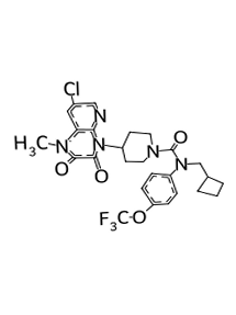 Cn1c(=O)c(=O)n(C2CCN(C(=O)N(CC3CCC3)c3ccc(OC(F)(F)F)cc3)CC2)c2ncc(Cl)cc21